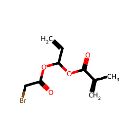 C=CC(OC(=O)CBr)OC(=O)C(=C)C